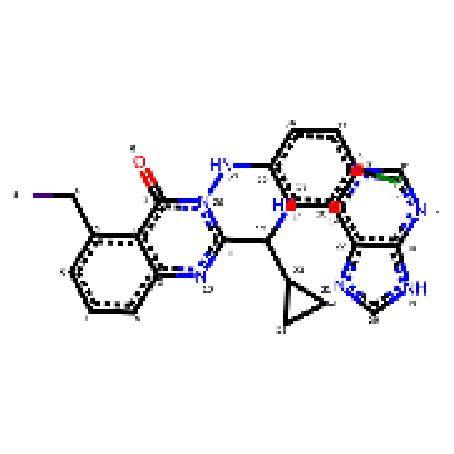 O=c1c2c(CI)cccc2nc(C(Nc2ncnc3[nH]cnc23)C2CC2)n1Nc1ccc(F)cc1